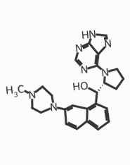 CN1CCN(c2ccc3cccc(C(O)[C@H]4CCCN4c4ncnc5[nH]cnc45)c3c2)CC1